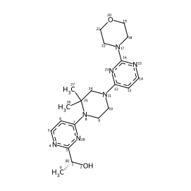 C[C@@H](O)c1nccc(N2CCN(c3ccnc(N4CCOCC4)n3)CC2(C)C)n1